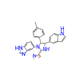 CN=S=C1NC(c2ccc3[nH]ccc3c2)C(c2ccc(C)cc2)N1c1ccc2[nH]cnc2c1